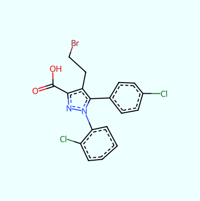 O=C(O)c1nn(-c2ccccc2Cl)c(-c2ccc(Cl)cc2)c1CCBr